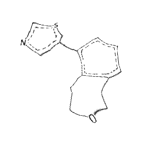 c1cc2c(c(-c3cncs3)c1)CCOC2